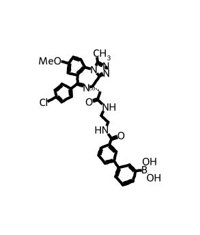 COc1ccc2c(c1)C(c1ccc(Cl)cc1)=N[C@@H](CC(=O)NCCNC(=O)c1cccc(-c3cccc(B(O)O)c3)c1)c1nnc(C)n1-2